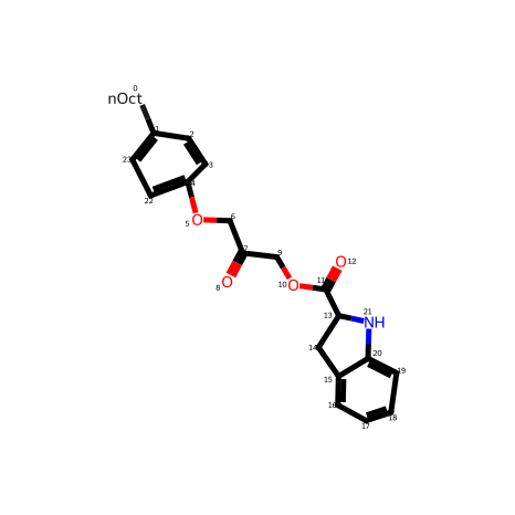 CCCCCCCCc1ccc(OCC(=O)COC(=O)C2Cc3ccccc3N2)cc1